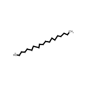 CCCCCCCCCCCCCCCC[CH]CO